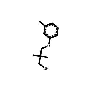 Cc1cccc(OCC(C)(C)CS)c1